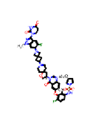 CO[C@@H]1CCN(S(=O)(=O)Nc2ccc(F)c(Oc3ccc4ncn([C@H]5COC6(CCN(C7CC8(C7)CN(c7cc9c(cc7F)c(N7CCC(=O)NC7=O)nn9C)C8)CC6)C5)c(=O)c4c3)c2C#N)C1